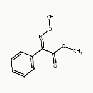 CON=C(C(=O)OC)c1c[c]ccc1